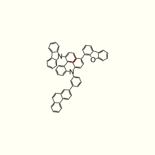 c1cc(-c2ccc3c(ccc4ccccc43)c2)cc(N(c2ccc(-c3cccc4c3oc3ccccc34)cc2)c2ccccc2-c2ccccc2-n2c3ccccc3c3ccccc32)c1